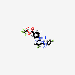 O=C(OC(=O)C(F)(F)F)c1ccc(Nc2ncc(F)c(Nc3ccc(F)cc3)n2)cc1